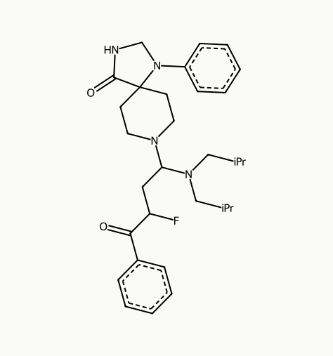 CC(C)CN(CC(C)C)C(CC(F)C(=O)c1ccccc1)N1CCC2(CC1)C(=O)NCN2c1ccccc1